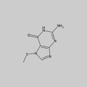 CSn1cnc2nc(N)[nH]c(=O)c21